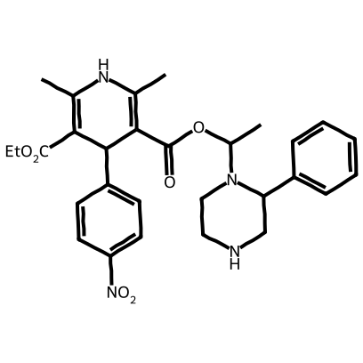 CCOC(=O)C1=C(C)NC(C)=C(C(=O)OC(C)N2CCNCC2c2ccccc2)C1c1ccc([N+](=O)[O-])cc1